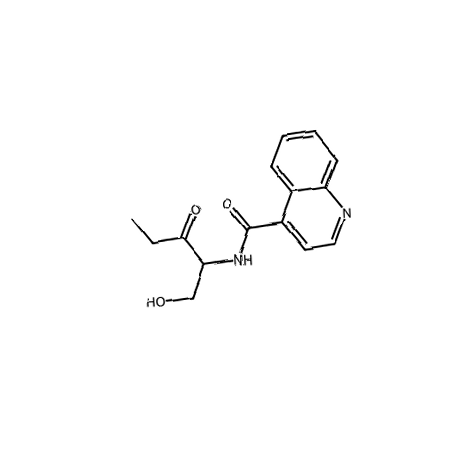 CCC(=O)C(CO)NC(=O)c1ccnc2ccccc12